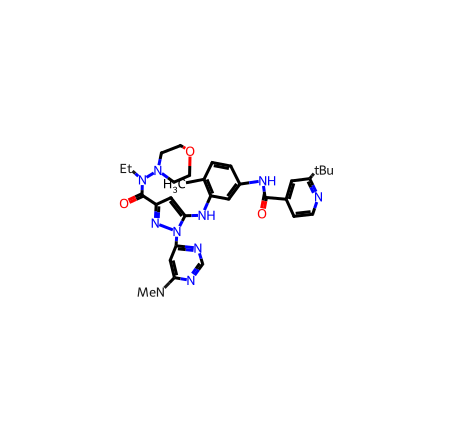 CCN(C(=O)c1cc(Nc2cc(NC(=O)c3ccnc(C(C)(C)C)c3)ccc2C)n(-c2cc(NC)ncn2)n1)N1CCOCC1